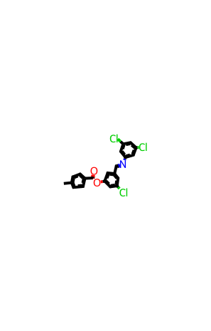 Cc1ccc(C(=O)Oc2cc(Cl)cc(C=Nc3cc(Cl)cc(Cl)c3)c2)cc1